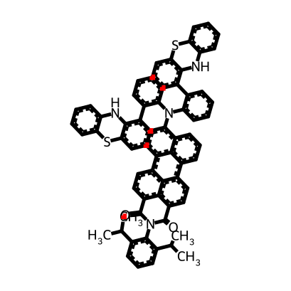 CC(C)c1cccc(C(C)C)c1N1C(=O)c2ccc3c4cccc5c(N(c6ccccc6-c6cccc7c6Nc6ccccc6S7)c6ccccc6-c6cccc7c6Nc6ccccc6S7)ccc(c6ccc(c2c36)C1=O)c54